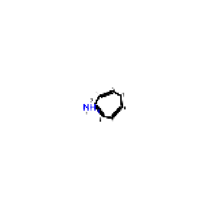 C1=CC=CCC=C1.N